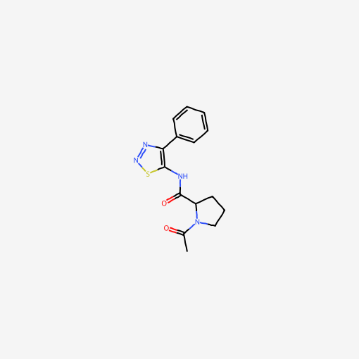 CC(=O)N1CCCC1C(=O)Nc1snnc1-c1ccccc1